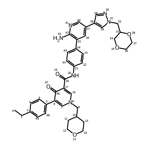 CCc1ccc(-c2cn(CC3CCOCC3)cc(C(=O)Nc3ccc(-c4cc(-c5cnn(CC6COCCO6)c5)cnc4N)cc3)c2=O)cc1